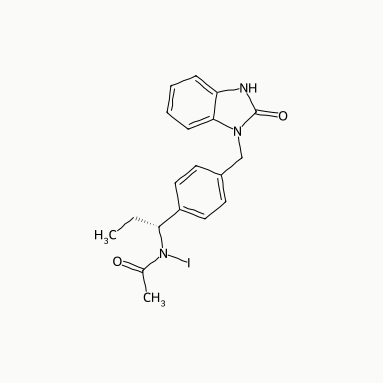 CC[C@H](c1ccc(Cn2c(=O)[nH]c3ccccc32)cc1)N(I)C(C)=O